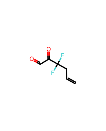 C=CCC(F)(F)C(=O)C=O